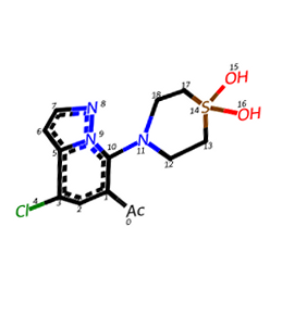 CC(=O)c1cc(Cl)c2ccnn2c1N1CCS(O)(O)CC1